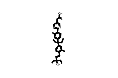 CCC(O)(C=Cc1ccc(C(CC)(CC)c2ccc(-c3ncc(CC(=O)O)cn3)c(C)c2)cc1C)CC